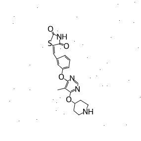 Cc1c(Oc2cccc(C=C3SC(=O)NC3=O)c2)ncnc1OC1CCNCC1